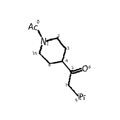 CC(=O)N1CCC(C(=O)CC(C)C)CC1